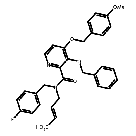 COc1ccc(COc2ccnc(C(=O)N(CC=CC(=O)O)Cc3ccc(F)cc3)c2OCc2ccccc2)cc1